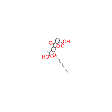 CCCCCCCCCCOc1cc2oc3c(C(=O)O)cccc3c(=O)c2cc1C(C)C(=O)O